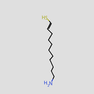 NCCCCCCCCCC=CS